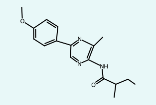 CCC(C)C(=O)Nc1ncc(-c2ccc(OC)cc2)nc1C